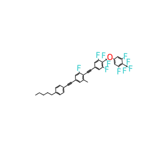 CCCCCc1ccc(C#Cc2cc(C)c(C#Cc3cc(F)c(C(F)(F)Oc4cc(F)c(C(F)(F)F)c(F)c4)c(F)c3)c(F)c2)cc1